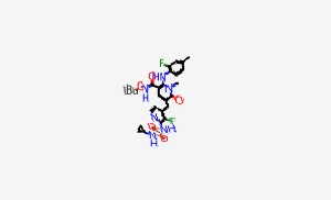 Cc1ccc(Nc2c(C(=O)NOC(C)(C)C)cc(Cc3ccnc(NS(=O)(=O)NC4CC4)c3F)c(=O)n2C)c(F)c1